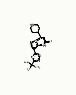 CCCC(C)(C)c1nnc(-c2cnn3c(C4CCNCC4)cc(=O)[nH]c23)o1